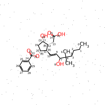 CCCCC(C)(C)C(O)C=C[C@@H]1[C@@H](CC(=O)O)[C@@H](O)C[C@H]1OC(=O)c1ccccc1